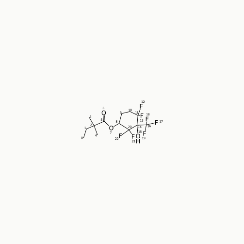 CCC(C)(C)C(=O)OC1CCC(F)(F)C(O)(C(F)(F)F)C1(F)F